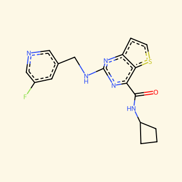 O=C(NC1CCC1)c1nc(NCc2cncc(F)c2)nc2ccsc12